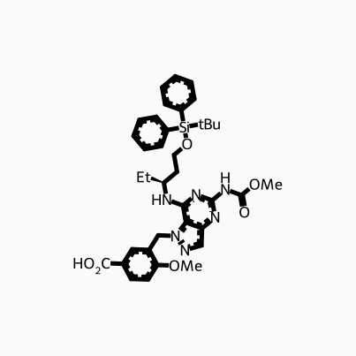 CC[C@@H](CCO[Si](c1ccccc1)(c1ccccc1)C(C)(C)C)Nc1nc(NC(=O)OC)nc2cnn(Cc3cc(C(=O)O)ccc3OC)c12